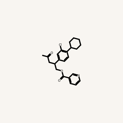 CC(=O)CC(COC(=O)c1cccnc1)c1ccc(C2CCCCC2)c(Cl)c1